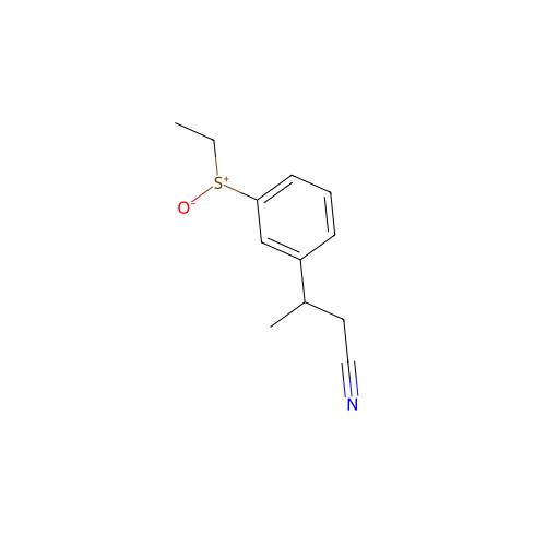 CC[S+]([O-])c1cccc(C(C)CC#N)c1